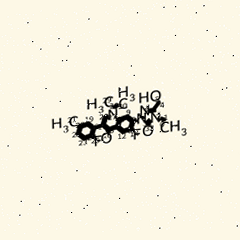 CCn1c(CO)nn(-c2cc3c(cc2F)c(=O)c(-c2cc(C)ccc2F)cn3C(C)C)c1=O